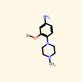 CCOc1cc(N)ccc1N1CCN(C)CC1